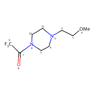 COCCN1CCN(C(=O)C(F)(F)F)CC1